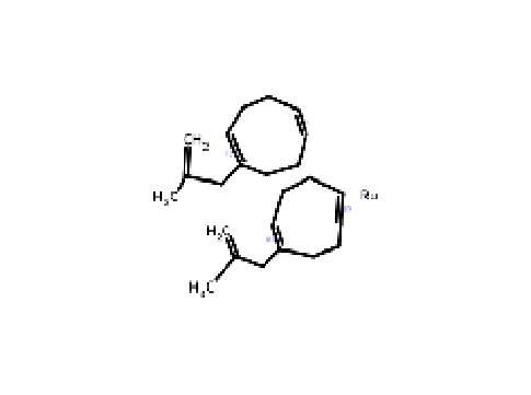 C=C(C)C/C1=C/CC/C=C\CC1.C=C(C)C/C1=C/CC/C=C\CC1.[Ru]